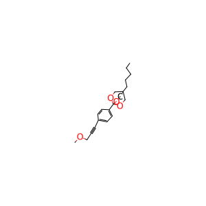 CCCCCC12COC(c3ccc(C#CCOC)cc3)(OC1)OC2